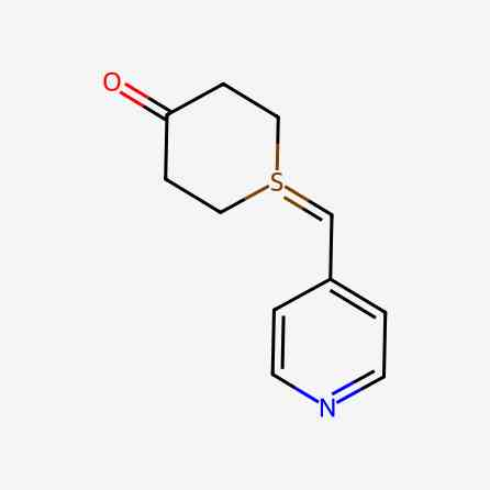 O=C1CCS(=Cc2ccncc2)CC1